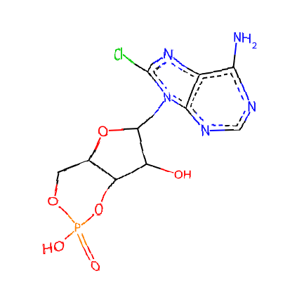 Nc1ncnc2c1nc(Cl)n2C1OC2COP(=O)(O)OC2C1O